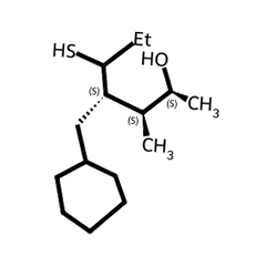 CCC(S)[C@@H](CC1CCCCC1)[C@H](C)[C@H](C)O